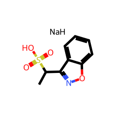 CC(c1noc2ccccc12)S(=O)(=O)O.[NaH]